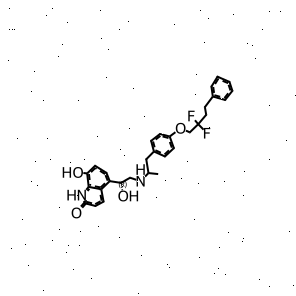 CC(Cc1ccc(OCC(F)(F)CCc2ccccc2)cc1)NC[C@H](O)c1ccc(O)c2[nH]c(=O)ccc12